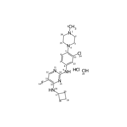 CN1CCN(c2ccc(Nc3ncc(F)c(NC4CCC4)n3)cc2Cl)CC1.Cl.Cl